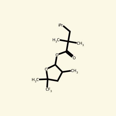 CC(C)CC(C)(C)C(=O)OC1OC(C)(C(F)(F)F)CC1C